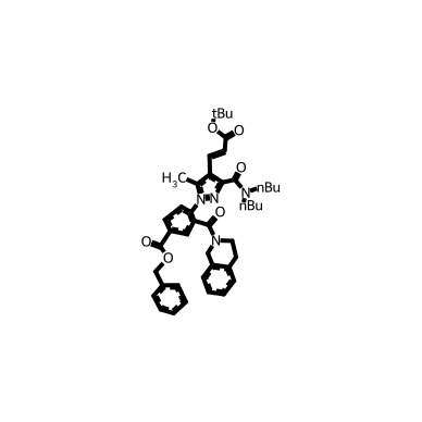 CCCCN(CCCC)C(=O)c1nn(-c2ccc(C(=O)OCc3ccccc3)cc2C(=O)N2CCc3ccccc3C2)c(C)c1C=CC(=O)OC(C)(C)C